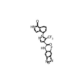 O=C(Nc1cc2nonc2cc1F)c1cnn(-c2cccc3c(=O)[nH]ccc23)c1C(F)(F)F